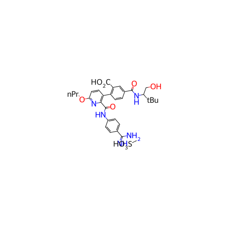 CCCOc1ccc(-c2ccc(C(=O)NC(CO)C(C)(C)C)cc2C(=O)O)c(C(=O)Nc2ccc(C(=N)N)cc2)n1.CS(=O)(=O)O